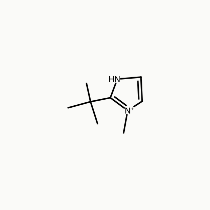 C[n+]1cc[nH]c1C(C)(C)C